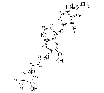 COc1cc2c(Oc3ccc4[nH]c(C)cc4c3F)ccnc2cc1OCCCN1CC(O)C2(CC2)C1